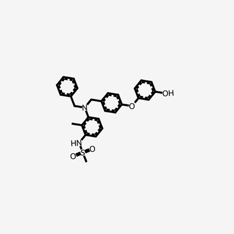 Cc1c(NS(C)(=O)=O)cccc1N(Cc1ccccc1)Cc1ccc(Oc2cccc(O)c2)cc1